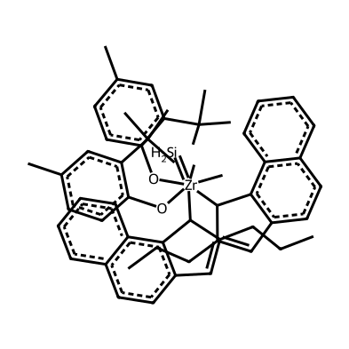 CCCC1=Cc2ccc3ccccc3c2[CH]1[Zr]([CH3])([CH3])(=[SiH2])([O]c1ccc(C)cc1C(C)(C)C)([O]c1ccc(C)cc1C(C)(C)C)[CH]1C(CCC)=Cc2ccc3ccccc3c21